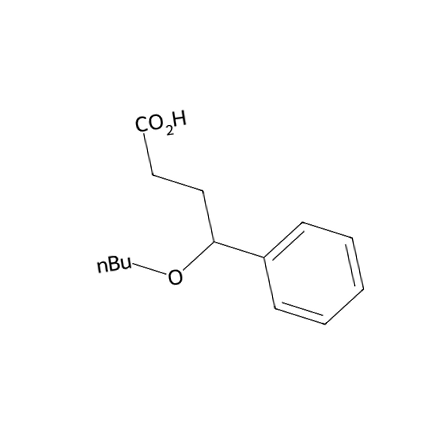 CCCCOC(CCC(=O)O)c1ccccc1